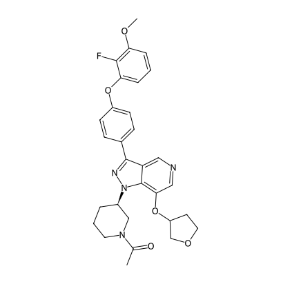 COc1cccc(Oc2ccc(-c3nn([C@@H]4CCCN(C(C)=O)C4)c4c(OC5CCOC5)cncc34)cc2)c1F